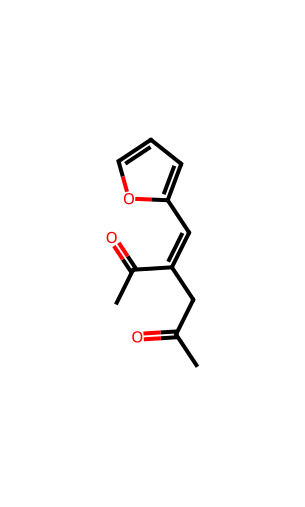 CC(=O)CC(=Cc1ccco1)C(C)=O